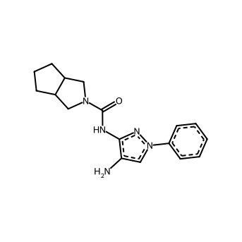 Nc1cn(-c2ccccc2)nc1NC(=O)N1CC2CCCC2C1